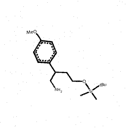 COc1ccc(C(CN)CCO[Si](C)(C)C(C)(C)C)cc1